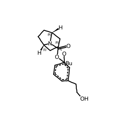 CC(C)(C)OC(=O)N1[C@@H]2CC[C@H]1C[C@@H](Oc1cccc(CCO)c1)C2